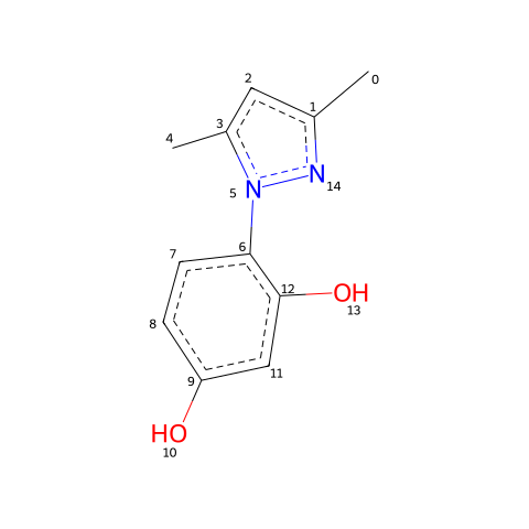 Cc1cc(C)n(-c2ccc(O)cc2O)n1